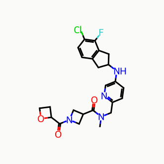 CN(Cc1ccc(NC2Cc3ccc(Cl)c(F)c3C2)cn1)C(=O)C1CN(C(=O)C2CCO2)C1